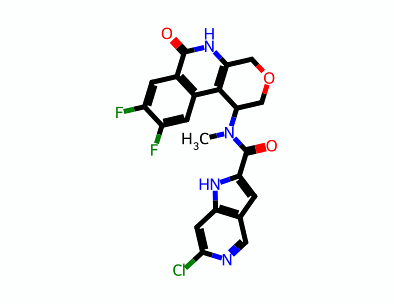 CN(C(=O)c1cc2cnc(Cl)cc2[nH]1)C1COCc2[nH]c(=O)c3cc(F)c(F)cc3c21